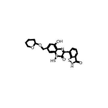 O=c1[nH]sc2c(-c3nc4c(O)cc(COC5CCCCO5)cc4n(S)c3=O)cccc12